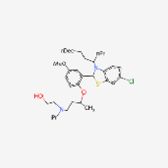 CCCCCCCCCCCCC(CCC)N1c2ccc(Cl)cc2SC1c1cc(OC)ccc1OC(C)CCN(CCO)C(C)C